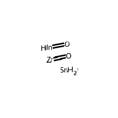 [O]=[InH].[O]=[Zr].[SnH2]